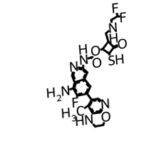 Cc1c(-c2cc3cc(NC(=O)OC4C(S)C(=O)C4CNCC(F)F)ncc3c(N)c2F)cnc2c1NCCO2